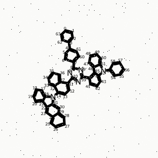 c1ccc(-c2ccc(-c3nc(-c4ccc(-n5c6ccccc6c6cc7ccccc7cc65)c5ccccc45)nc(-c4cccc5c4c4ccccc4n5-c4ccccc4)n3)cc2)cc1